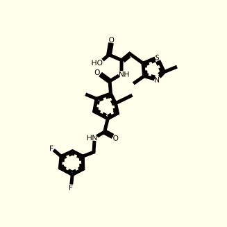 Cc1nc(C)c(C=C(NC(=O)c2c(C)cc(C(=O)NCc3cc(F)cc(F)c3)cc2C)C(=O)O)s1